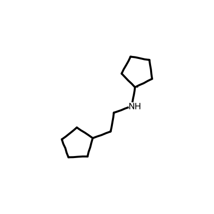 C1CC[C](NCCC2CCCC2)C1